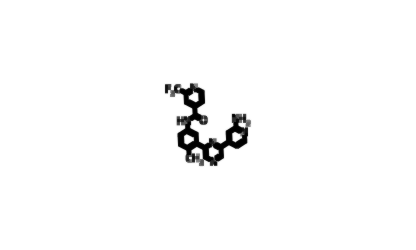 Cc1ccc(NC(=O)c2ccnc(C(F)(F)F)c2)cc1-c1cncc(-c2ccnc(N)c2)n1